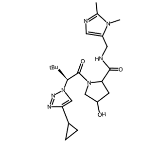 Cc1ncc(CNC(=O)C2CC(O)CN2C(=O)[C@@H](n2cc(C3CC3)nn2)C(C)(C)C)n1C